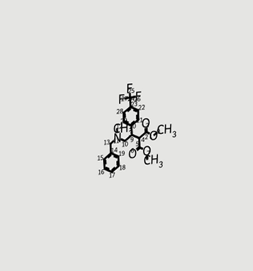 COC(=O)C(C(=O)OC)C(CN(C)Cc1ccccc1)c1ccc(C(F)(F)F)cc1